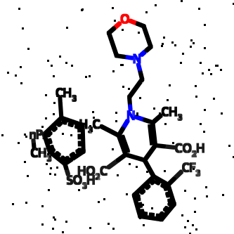 CC1=C(C(=O)O)C(c2ccccc2C(F)(F)F)C(C(=O)O)=C(C)N1CCN1CCOCC1.CCCC.Cc1ccc(S(=O)(=O)O)cc1